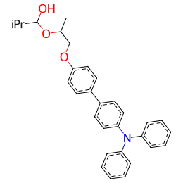 CC(COc1ccc(-c2ccc(N(c3ccccc3)c3ccccc3)cc2)cc1)OC(O)C(C)C